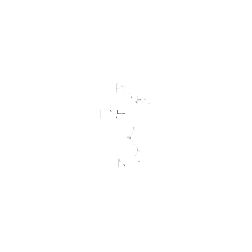 CCN(C(C)C)P(N)OCCC#N